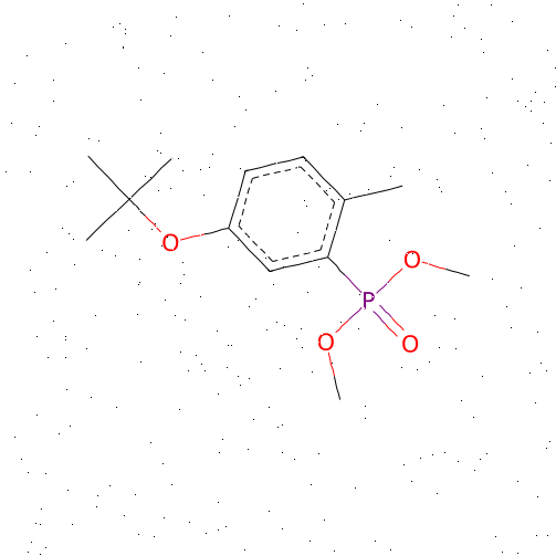 COP(=O)(OC)c1cc(OC(C)(C)C)ccc1C